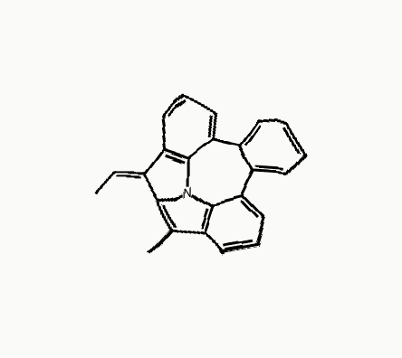 C/C=c1/c2cccc3c2n2c1c(C)c1cccc(c12)-c1ccccc1-3